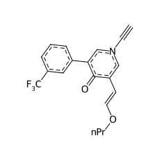 C#Cn1cc(C=COCCC)c(=O)c(-c2cccc(C(F)(F)F)c2)c1